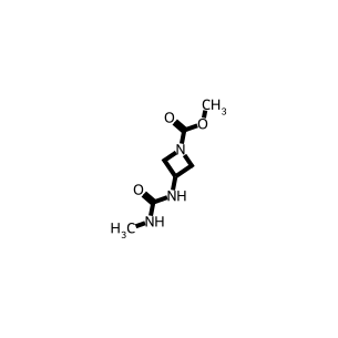 CNC(=O)NC1CN(C(=O)OC)C1